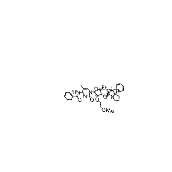 CC[C@H]1O[C@@H](n2cc(C)c(NC(=O)c3ccccc3)nc2=O)[C@@H](OCCOC)C1O[P@]1O[C@@](C)(c2ccccc2)[C@H]2CCCN21